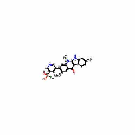 COc1cc2c(=O)c3c4ccc(C#N)cc4[nH]c3n(C(C)C)c2cc1-c1cncc(S(=O)(=O)F)c1